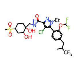 CCn1nc(C(=O)NC[C@@]2(O)CC[C@H](S(C)(=O)=O)C[C@@H]2O)c(Cl)c1-c1ccc(CC(C)C(F)(F)F)cc1OC(F)F